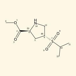 COC(=O)[C@@H]1C[C@@H](S(=O)(=O)C(C)C)CN1